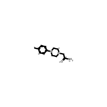 Cc1ccc(N2CCN(CC(N)=O)CC2)cc1